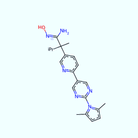 Cc1ccc(C)n1-c1ncc(-c2ccc(C(C)(/C(N)=N/O)C(C)C)cn2)cn1